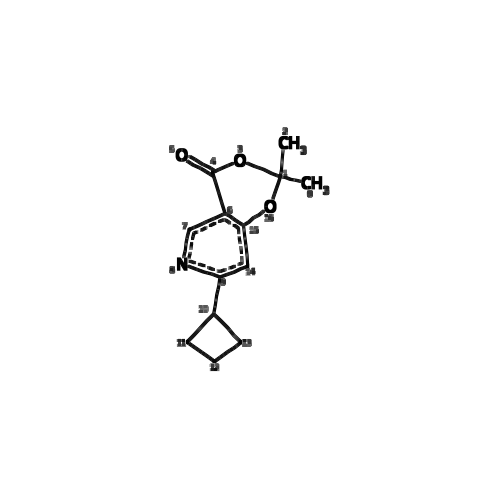 CC1(C)OC(=O)c2cnc(C3CCC3)cc2O1